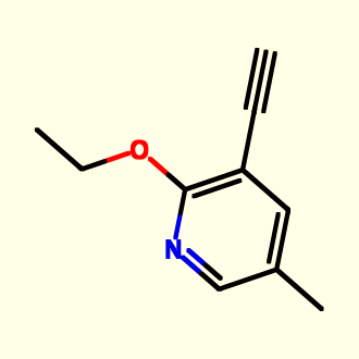 C#Cc1cc(C)cnc1OCC